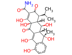 CC(C)[C@@H]1C(=O)C(C(N)=O)=C(O)[C@@]2(O)C(=O)C3=C(O)c4c(O)cccc4[C@@](C)(O)[C@H]3[C@H](O)[C@@H]12